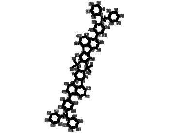 CC1(C)c2cc3c(cc2C(C)(C)c2cc4c(cc21)-c1ccc(-c2ccc(N(c5ccccc5)c5ccccc5)cc2)c2cccc-4c12)-c1ccc(-c2ccc(N(c4ccccc4)c4ccccc4)cc2)c2cccc-3c12